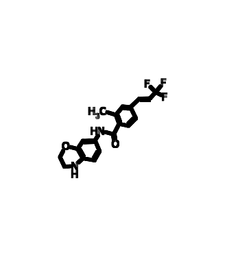 Cc1cc(C=CC(F)(F)F)ccc1C(=O)Nc1ccc2c(c1)OCCN2